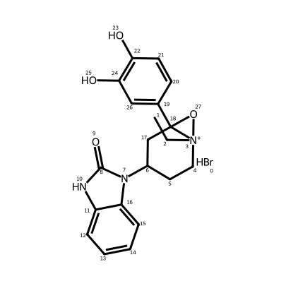 Br.CC[N+]12CCC(n3c(=O)[nH]c4ccccc43)CC1(c1ccc(O)c(O)c1)O2